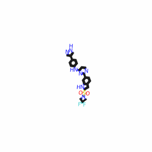 O=S(=O)(c1cc2ccc(-c3nccc(Nc4ccc(-c5cn[nH]c5)cc4)n3)cc2[nH]1)N1CC(F)(F)C1